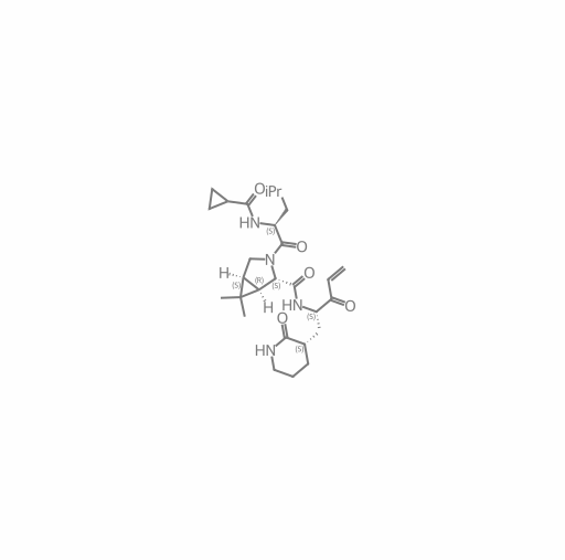 C=CC(=O)[C@H](C[C@@H]1CCCNC1=O)NC(=O)[C@@H]1[C@@H]2[C@H](CN1C(=O)[C@H](CC(C)C)NC(=O)C1CC1)C2(C)C